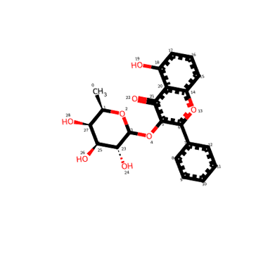 C[C@H]1OC(Oc2c(-c3ccccc3)oc3cccc(O)c3c2=O)[C@H](O)[C@@H](O)[C@H]1O